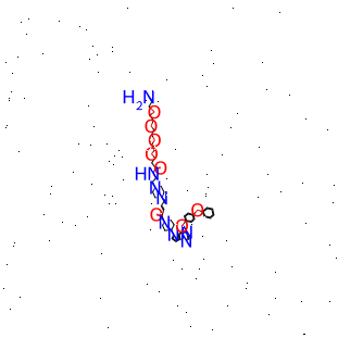 NCCOCCOCCOCCOCCC(=O)NCCN1CCN(CC=CC(=O)N2CCC(n3ccc4ncnc(Oc5ccc(Oc6ccccc6)cc5)c43)CC2)CC1